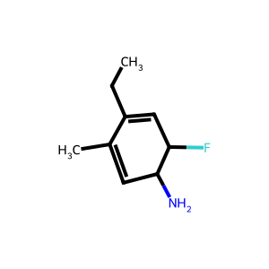 CCC1=CC(F)C(N)C=C1C